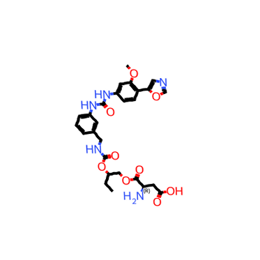 CCC(COC(=O)[C@H](N)CC(=O)O)OC(=O)NCc1cccc(NC(=O)Nc2ccc(-c3cnco3)c(OC)c2)c1